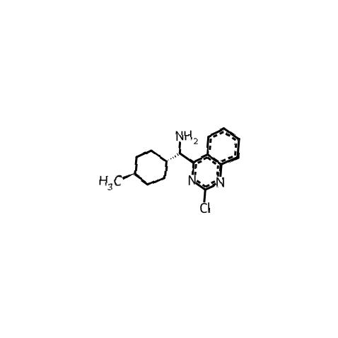 C[C@H]1CC[C@H](C(N)c2nc(Cl)nc3ccccc23)CC1